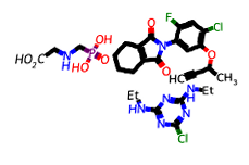 C#CC(C)Oc1cc(N2C(=O)C3=C(CCCC3)C2=O)c(F)cc1Cl.CCNc1nc(Cl)nc(NCC)n1.O=C(O)CNCP(=O)(O)O